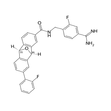 N=C(N)c1ccc(CNC(=O)c2ccc3c(c2)[C@@H]2O[C@H]3c3ccc(-c4ccccc4F)cc32)c(F)c1